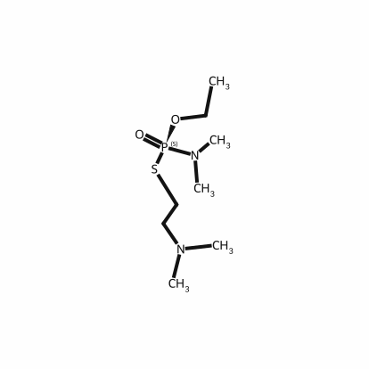 CCO[P@](=O)(SCCN(C)C)N(C)C